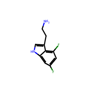 NCCc1c[nH]c2cc(F)cc(F)c12